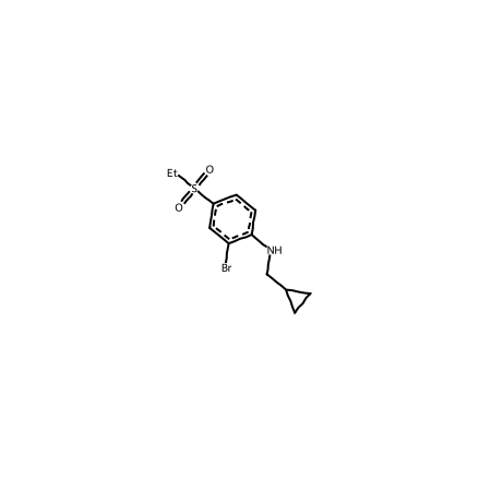 CCS(=O)(=O)c1ccc(NCC2CC2)c(Br)c1